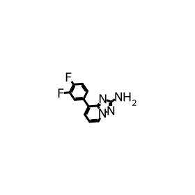 Nc1nc2c(-c3ccc(F)c(F)c3)cccn2n1